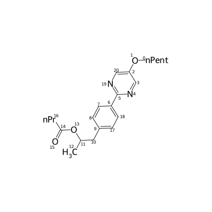 CCCCCOc1cnc(-c2ccc(CC(C)OC(=O)CCC)cc2)nc1